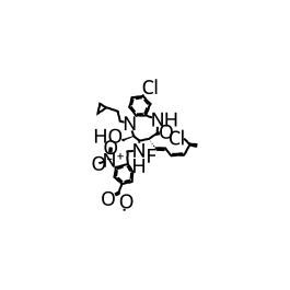 C=C(Cl)/C=C\C=C(/F)[C@H]1C(=O)Nc2cc(Cl)ccc2N(CCC2CC2)[C@H](CO)[C@@H]1NCc1ccc(C(=O)OC)cc1[N+](=O)[O-]